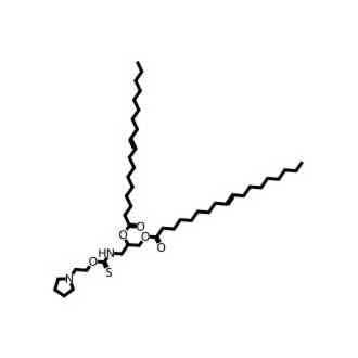 CCCCCCCCC=CCCCCCCCC(=O)OCC(CNC(=S)OCCN1CCCC1)OC(=O)CCCCCCCC=CCCCCCCCC